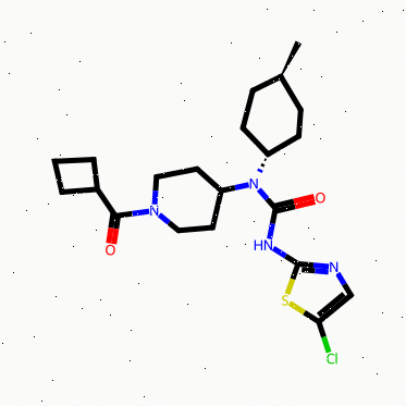 C[C@H]1CC[C@H](N(C(=O)Nc2ncc(Cl)s2)C2CCN(C(=O)C3CCC3)CC2)CC1